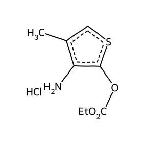 CCOC(=O)Oc1scc(C)c1N.Cl